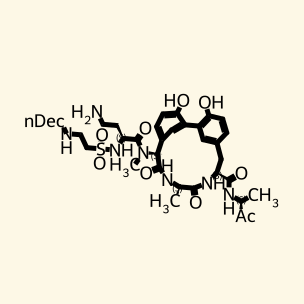 CCCCCCCCCCNCCS(=O)(=O)N[C@@H](CCN)C(=O)N(C)[C@@H]1C(=O)N[C@@H](C)C(=O)N[C@H](C(=O)N[C@@H](C)C(C)=O)Cc2ccc(O)c(c2)-c2cc1ccc2O